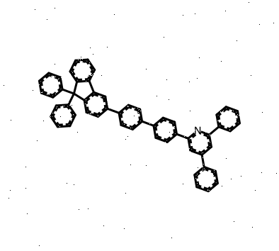 c1ccc(-c2cc(-c3ccccc3)nc(-c3ccc(-c4ccc(-c5ccc6c(c5)-c5ccccc5C6(c5ccccc5)c5ccccc5)cc4)cc3)c2)cc1